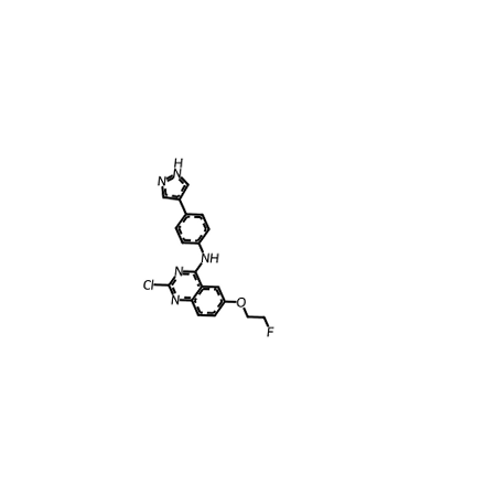 FCCOc1ccc2nc(Cl)nc(Nc3ccc(-c4cn[nH]c4)cc3)c2c1